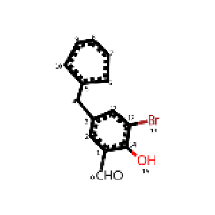 O=Cc1cc(Cc2ccccc2)cc(Br)c1O